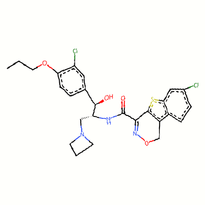 CCCOc1ccc([C@@H](O)[C@@H](CN2CCC2)NC(=O)C2=NOCc3c2sc2cc(Cl)ccc32)cc1Cl